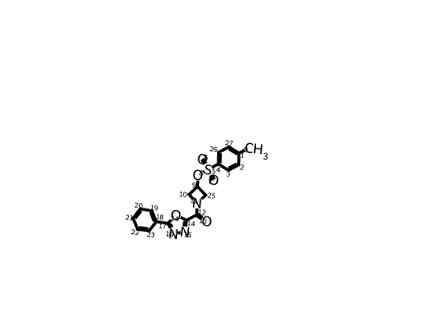 Cc1ccc(S(=O)(=O)OC2CN(C(=O)c3nnc(-c4ccccc4)o3)C2)cc1